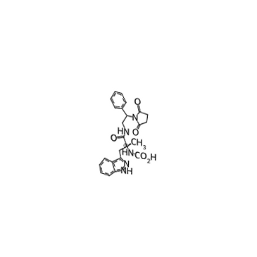 C[C@](Cc1n[nH]c2ccccc12)(NC(=O)O)C(=O)NCC(c1ccccc1)N1C(=O)CCC1=O